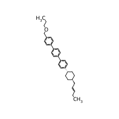 CCC=CC[C@H]1CC[C@H](c2ccc(-c3ccc(-c4ccc(COCCC)cc4)cc3)cc2)CC1